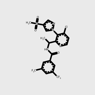 CC(NC(=O)c1cc(C(F)(F)F)cc(C(F)(F)F)c1)c1nccc(Cl)c1-n1cc(S(C)(=O)=O)cn1